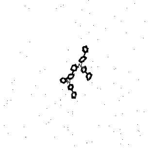 c1ccc(-c2ccc(N(c3ccc(-c4ccccc4)cc3)c3cccc(-c4ccc5c(c4)c4ccccc4n5-c4ccc(-c5ccccc5)cc4)c3)cc2)cc1